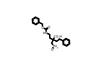 O=[PH2]CC(CCNC(=O)OCc1ccccc1)(CCc1ccccc1)C(=O)O